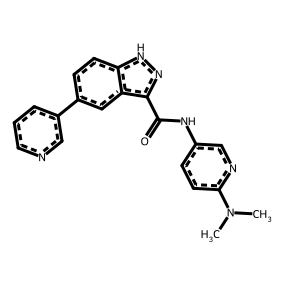 CN(C)c1ccc(NC(=O)c2n[nH]c3ccc(-c4cccnc4)cc23)cn1